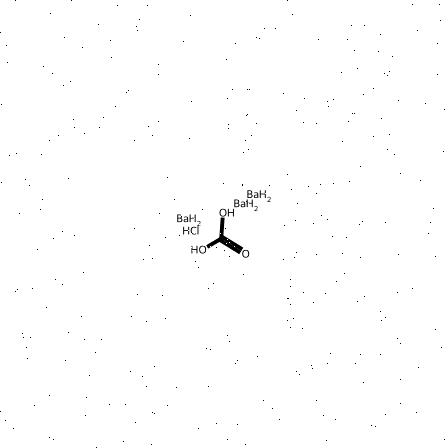 Cl.O=C(O)O.[BaH2].[BaH2].[BaH2]